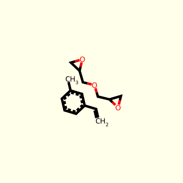 C(OCC1CO1)C1CO1.C=Cc1cccc(C)c1